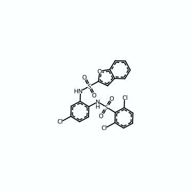 O=S(=O)(Nc1cc(Cl)ccc1NS(=O)(=O)c1c(Cl)cccc1Cl)c1cc2ccccc2o1